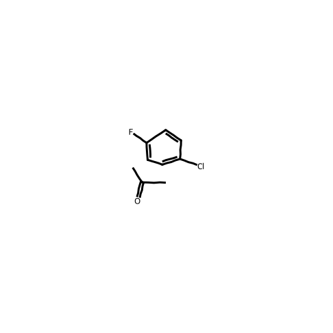 CC(C)=O.Fc1ccc(Cl)cc1